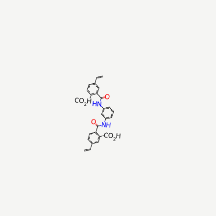 C=Cc1ccc(C(=O)Nc2cccc(NC(=O)c3cc(C=C)ccc3C(=O)O)c2)c(C(=O)O)c1